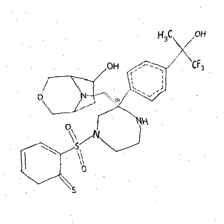 CC(O)(c1ccc([C@]2(CN3C4COCC3C(O)C4)CN(S(=O)(=O)C3=CC=CCC3=S)CCN2)cc1)C(F)(F)F